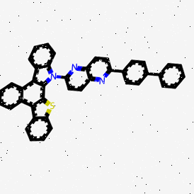 c1ccc(-c2ccc(-c3ccc4nc(-n5c6ccccc6c6c7ccccc7c7c8ccccc8sc7c65)ccc4n3)cc2)cc1